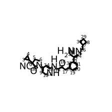 N#CC1(C2CC2)CCN(C2=CCNC(NCC(=O)Cc3cccc(/C(=C/NCC4CCC4)CN)c3)=C2)C1=O